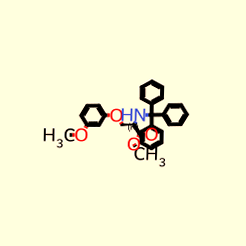 COC(=O)[C@@H](COc1cccc(OC)c1)NC(c1ccccc1)(c1ccccc1)c1ccccc1